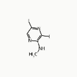 CNc1ncc(I)nc1I